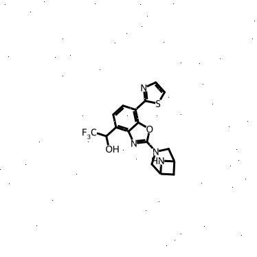 OC(c1ccc(-c2nccs2)c2oc(N3CC4CC(C3)N4)nc12)C(F)(F)F